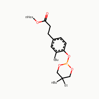 CCCCCCOC(=O)CCc1ccc(OP2OCC(CC)(CCCC)CO2)c(C(C)(C)C)c1